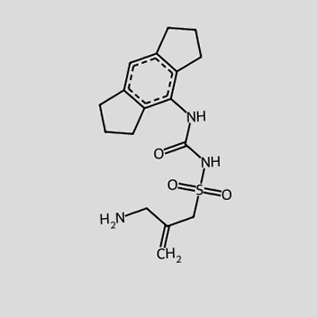 C=C(CN)CS(=O)(=O)NC(=O)Nc1c2c(cc3c1CCC3)CCC2